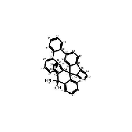 CC1(C)c2ccccc2C2(c3ccccc3-c3ccc(-c4ccccc4-c4cccnc4)cc32)c2ccccc21